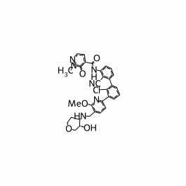 COc1nc(-c2cccc(-c3cccc(NC(=O)c4ccnn(C)c4=O)c3C#N)c2Cl)ccc1CNC1CCOC[C@@H]1O